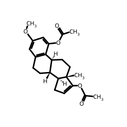 COc1cc2c(c(OC(C)=O)c1)[C@H]1CC[C@]3(C)C(OC(C)=O)=CC[C@H]3[C@@H]1CC2